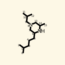 CC(C)CCCC1CN(CC(C)C)CC(C)N1